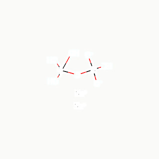 [Na+].[Na+].[O-][Si]([O-])(O)O[Si](O)(O)O